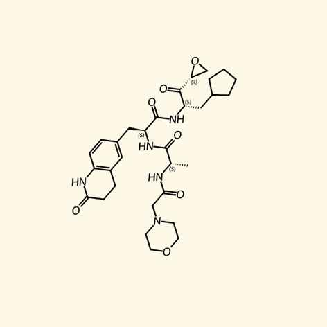 C[C@H](NC(=O)CN1CCOCC1)C(=O)N[C@@H](Cc1ccc2c(c1)CCC(=O)N2)C(=O)N[C@@H](CC1CCCC1)C(=O)[C@H]1CO1